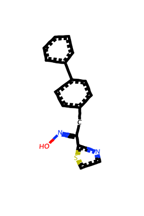 ON=C(Cc1ccc(-c2ccccc2)cc1)c1nccs1